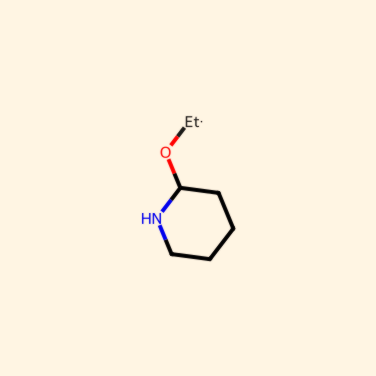 C[CH]OC1CCCCN1